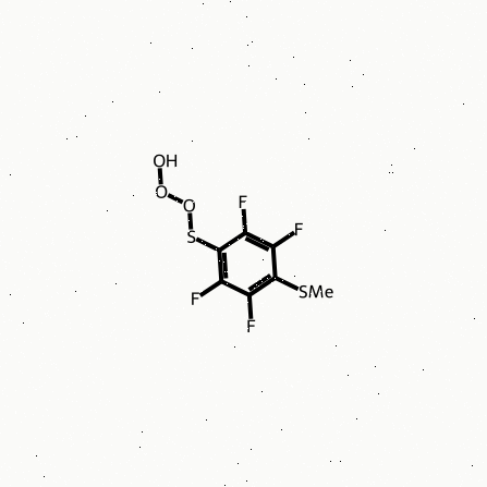 CSc1c(F)c(F)c(SOOO)c(F)c1F